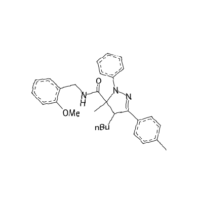 CCCCC1C(c2ccc(C)cc2)=NN(c2ccccc2)C1(C)C(=O)NCc1ccccc1OC